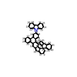 C1=CC2(C3=c4cc5c6ccc(-n7c8ccccc8c8ccccc87)cc6c6ccccc6c5cc4=CC3=C1)c1ccccc1-c1ccccc12